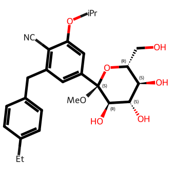 CCc1ccc(Cc2cc([C@]3(OC)O[C@H](CO)[C@@H](O)[C@H](O)[C@H]3O)cc(OC(C)C)c2C#N)cc1